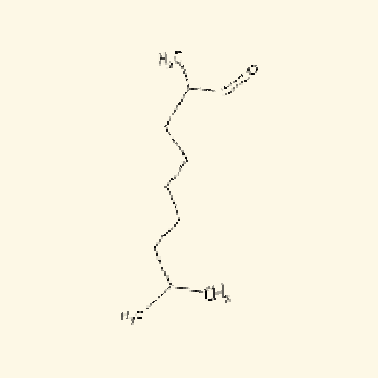 CC(C)CCCCCC(C)C=O